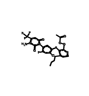 CCCCc1ccnc(OOC(C)=O)c1Sc1cc(-n2c(=O)cc(C(F)(F)F)n(N)c2=O)c(F)cc1Cl